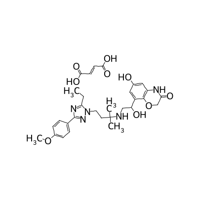 CCc1nc(-c2ccc(OC)cc2)nn1CCC(C)(C)NCC(O)c1cc(O)cc2c1OCC(=O)N2.O=C(O)C=CC(=O)O